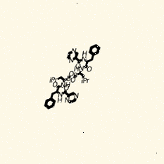 CC(C)CC(NC(=O)C(Cc1ccccc1)NC(=O)c1cnccn1)B1OB(C(CC(C)C)NC(=O)C(Cc2ccccc2)NC(=O)c2cnccn2)O1